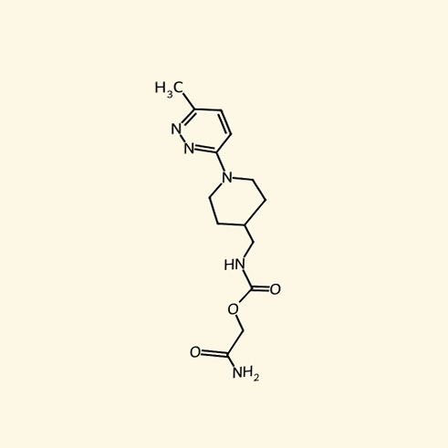 Cc1ccc(N2CCC(CNC(=O)OCC(N)=O)CC2)nn1